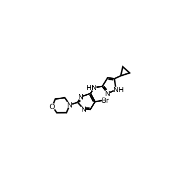 Brc1cnc(N2CCOCC2)nc1Nc1cc(C2CC2)[nH]n1